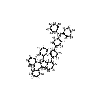 c1ccc(-c2c3c4ccccc4c4ccccc4c3n3cccc(-c4ccc(-c5ccc(N(c6ccccc6)c6ccccc6)cc5)cc4)c23)cc1